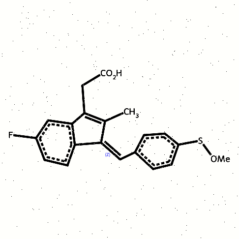 COSc1ccc(/C=C2\C(C)=C(CC(=O)O)c3cc(F)ccc32)cc1